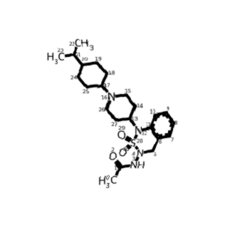 CC(=O)NN1Cc2ccccc2N(C2CCN(C3CCC(C(C)C)CC3)CC2)S1(=O)=O